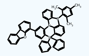 Cc1cc(C)c(B2c3ccccc3N3c4cc(-c5cccc6c5oc5ccccc56)ccc4[Si](c4ccccc4)(c4ccccc4)c4cccc2c43)c(C)c1